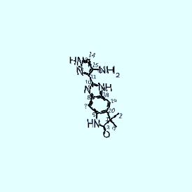 CC1(C)C(=O)Nc2cc3nc(-c4n[nH]cc4N)[nH]c3cc21